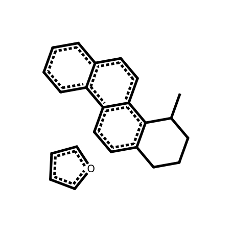 CC1CCCc2ccc3c(ccc4ccccc43)c21.c1ccoc1